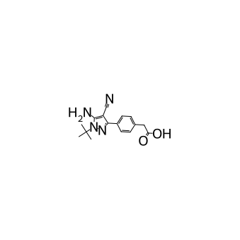 CC(C)(C)n1nc(-c2ccc(CC(=O)O)cc2)c(C#N)c1N